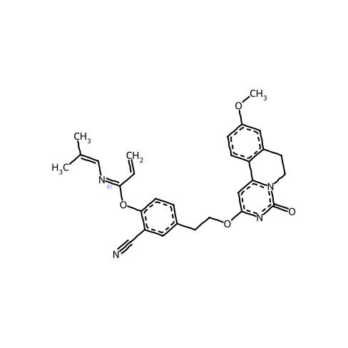 C=C/C(=N\C=C(C)C)Oc1ccc(CCOc2cc3n(c(=O)n2)CCc2cc(OC)ccc2-3)cc1C#N